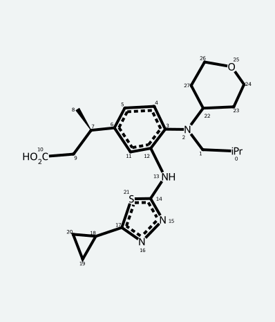 CC(C)CN(c1ccc([C@H](C)CC(=O)O)cc1Nc1nnc(C2CC2)s1)C1CCOCC1